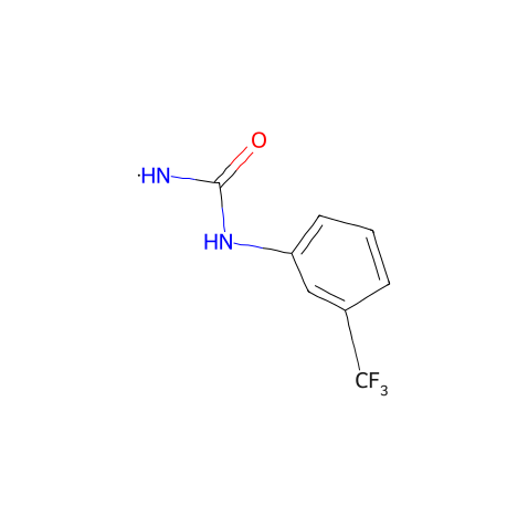 [NH]C(=O)Nc1cccc(C(F)(F)F)c1